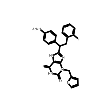 CC(=O)Nc1ccc(C(Cc2ccccc2F)c2nc3c([nH]2)c(=O)[nH]c(=O)n3Cc2cccs2)cc1